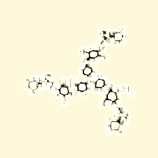 CCC1(OC(=O)COc2cc(I)c(Oc3ccc([S+](c4ccc(Oc5cc(I)c(OCC(=O)OC6(CC)CCCCC6)cc5C)cc4)c4ccc(Oc5cc(I)c(OCC(=O)OC6(CC)CCCCC6)cc5I)cc4)cc3)cc2C)CCCCC1